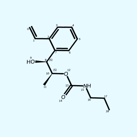 C=Cc1ccccc1[C@H](O)[C@H](C)OC(=O)NCCC